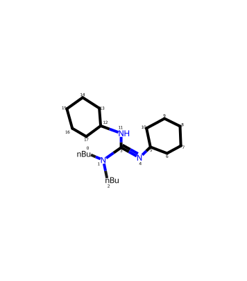 CCCCN(CCCC)/C(=N/C1CCCCC1)NC1CCCCC1